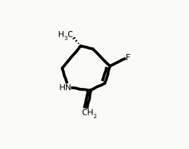 C=C1C=C(F)C[C@@H](C)CN1